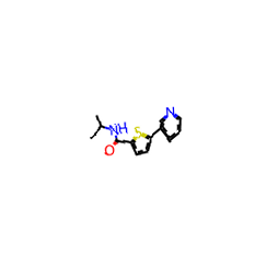 CC(C)NC(=O)c1ccc(-c2cccnc2)s1